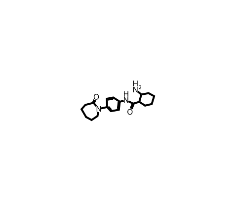 NC1CCCCC1C(=O)Nc1ccc(N2CCCCCC2=O)cc1